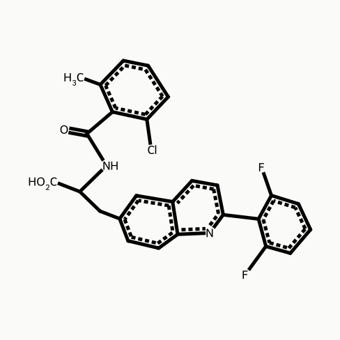 Cc1cccc(Cl)c1C(=O)NC(Cc1ccc2nc(-c3c(F)cccc3F)ccc2c1)C(=O)O